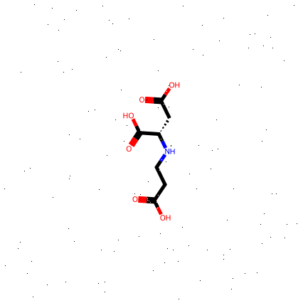 O=C(O)CCN[C@@H](CC(=O)O)C(=O)O